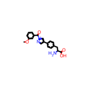 COc1cccc(C(=O)n2cc(-c3ccc(CC(N)C(=O)O)cc3)cn2)c1